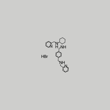 Br.c1ccc(CNCc2ccc(CN[C@H]3CCCC[C@@H]3NCc3ccccn3)cc2)nc1